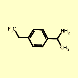 CC(N)c1ccc(CC(F)(F)F)cc1